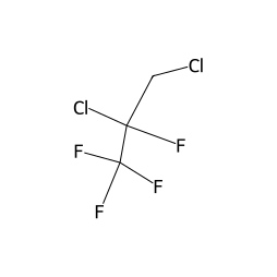 FC(F)(F)C(F)(Cl)CCl